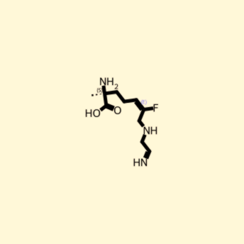 C[C@](N)(CC/C=C(/F)CNCC=N)C(=O)O